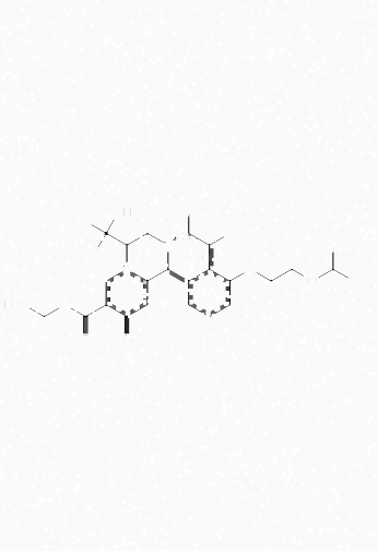 CCOC(=O)c1cn2c(cc1=O)/C(=c1\cccc(OCCOC(C)C)\c1=C(/C)CC)N(C)CC2C(C)(C)C